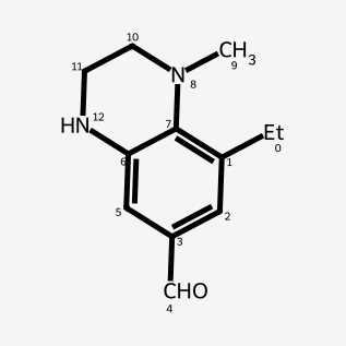 CCc1cc(C=O)cc2c1N(C)CCN2